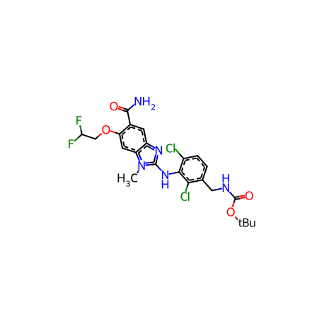 Cn1c(Nc2c(Cl)ccc(CNC(=O)OC(C)(C)C)c2Cl)nc2cc(C(N)=O)c(OCC(F)F)cc21